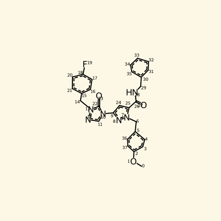 COc1ccc(Cn2nc(-n3cnn(Cc4ccc(F)cc4)c3=O)cc2C(=O)NCc2ccccc2)cc1